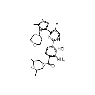 Cc1ncc(-c2nc(-c3ccc(C(=O)N4CC(C)OC(C)C4)c(N)c3)ncc2F)n1C1CCOCC1.Cl